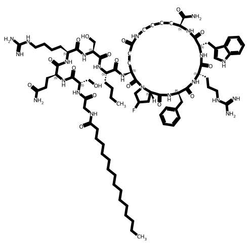 CCCCCCCCCCCCCCCC(=O)NCC(=O)N[C@@H](CO)C(=O)N[C@@H](CCC(N)=O)C(=O)N[C@@H](CCCCNC(=N)N)C(=O)N[C@@H](CO)C(=O)N[C@@H](CCCC)C(=O)N[C@H]1CCC(=O)NCCCC[C@@H](C(N)=O)NC(=O)[C@H](Cc2c[nH]c3ccccc23)NC(=O)[C@H](CCCNC(=N)N)NC(=O)[C@@H](Cc2ccccc2)NC(=O)[C@@H]2CC(F)CN2C1=O